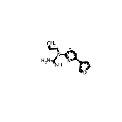 C=CCN(C(=N)N)c1nc(-c2ccoc2)cs1